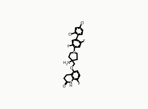 NC1(COc2ccc(F)c3c2CCC(=O)N3)CCN(c2cc(F)c(-c3ccc(Cl)cc3Cl)cc2F)CC1